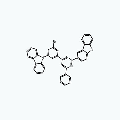 Brc1cc(-c2nc(-c3ccccc3)nc(-c3ccc4oc5ccccc5c4c3)n2)cc(-n2c3ccccc3c3ccccc32)c1